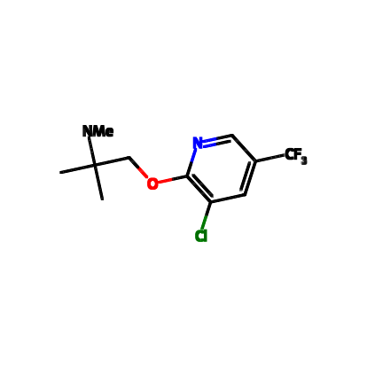 CNC(C)(C)COc1ncc(C(F)(F)F)cc1Cl